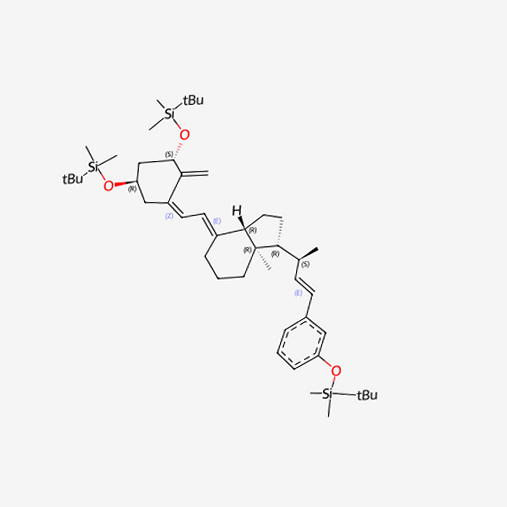 C=C1/C(=C\C=C2/CCC[C@]3(C)[C@@H]([C@@H](C)/C=C/c4cccc(O[Si](C)(C)C(C)(C)C)c4)CC[C@@H]23)C[C@@H](O[Si](C)(C)C(C)(C)C)C[C@@H]1O[Si](C)(C)C(C)(C)C